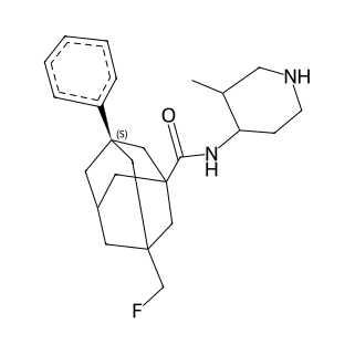 CC1CNCCC1NC(=O)C12CC3CC(CF)(C1)C[C@](c1ccccc1)(C3)C2